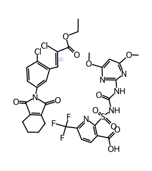 CCOC(=O)/C(Cl)=C/c1cc(N2C(=O)C3=C(CCCC3)C2=O)ccc1Cl.COc1cc(OC)nc(NC(=O)NS(=O)(=O)c2nc(C(F)(F)F)ccc2C(=O)O)n1